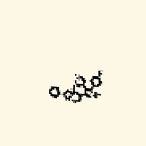 Fc1ccc(-c2[nH]cc(C3=C[C@@H]4C[C@H](c5ccccc5)CN4CC3)c2-c2ccncc2)cc1